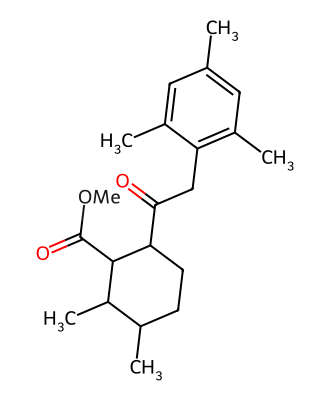 COC(=O)C1C(C(=O)Cc2c(C)cc(C)cc2C)CCC(C)C1C